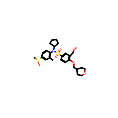 Cc1cc([S+](C)[O-])ccc1N(C1CCCC1)S(=O)(=O)c1ccc(OCC2CCOCC2)c(CO)c1